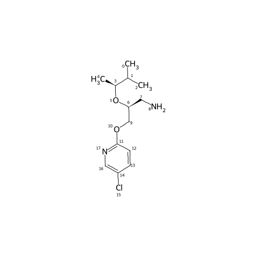 CC(C)[C@H](C)O[C@@H](CN)COc1ccc(Cl)cn1